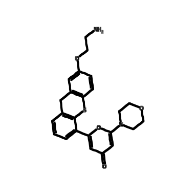 NCCOc1ccc2c(c1)Cc1cccc(-c3cc(=O)cc(N4CCOCC4)o3)c1S2